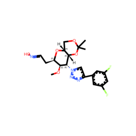 CO[C@@H]1[C@@H](n2cc(-c3cc(F)cc(F)c3)nn2)[C@H]2OC(C)(C)OC[C@H]2O[C@@H]1CC=NO